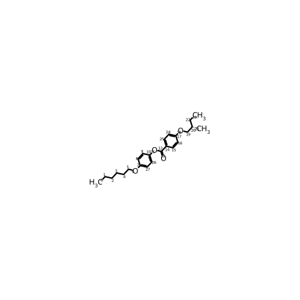 CCCCCCOc1ccc(OC(=O)c2ccc(OC[C@@H](C)CC)cc2)cc1